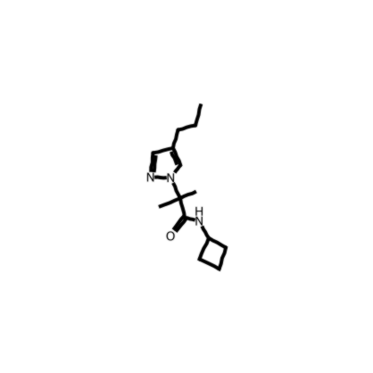 CCCc1cnn(C(C)(C)C(=O)NC2CCC2)c1